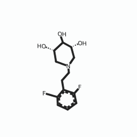 OC1[C@H](O)CN(CCc2c(F)cccc2F)C[C@@H]1O